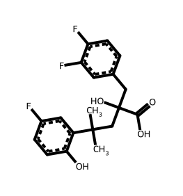 CC(C)(CC(O)(Cc1ccc(F)c(F)c1)C(=O)O)c1cc(F)ccc1O